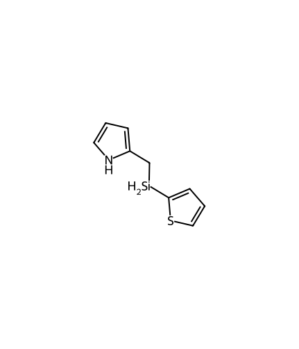 c1c[nH]c(C[SiH2]c2cccs2)c1